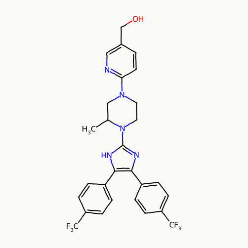 CC1CN(c2ccc(CO)cn2)CCN1c1nc(-c2ccc(C(F)(F)F)cc2)c(-c2ccc(C(F)(F)F)cc2)[nH]1